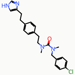 CN(CCc1ccc(CCc2c[nH]cn2)cc1)C(=O)N(C)Cc1ccc(Cl)cc1